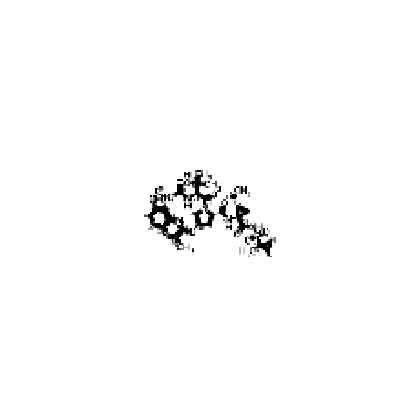 C=C[C@@H]1C[C@]1(NC(=O)[C@@H]1C[C@@H](Oc2nc3cc(OC)ccc3nc2C)CN1C(=O)[C@@H](NC(=O)O)C(C)(C)C)C(=O)NS(=O)(=O)C1(C)CC1